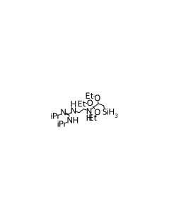 CCOC(C[SiH3])C(NCCNC(=NC(C)C)NC(C)C)(OCC)OCC